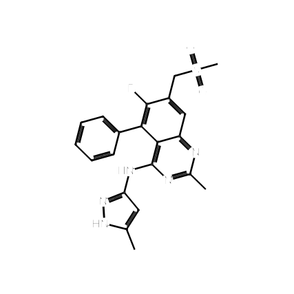 Cc1nc(Nc2cc(C)[nH]n2)c2c(-c3ccccc3)c(F)c(CS(C)(=O)=O)cc2n1